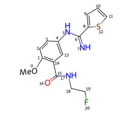 COc1ccc(NC(=N)c2cccs2)cc1C(=O)NCCF